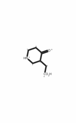 O=C(O)CC1CNCCC1=O